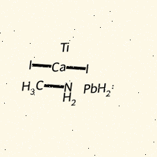 CN.[I][Ca][I].[PbH2].[Ti]